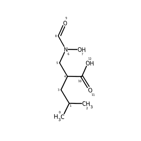 CC(C)CC(CN(O)C=O)C(=O)O